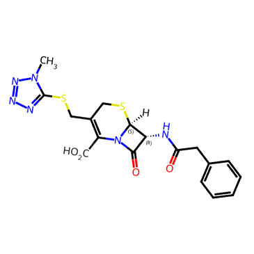 Cn1nnnc1SCC1=C(C(=O)O)N2C(=O)[C@@H](NC(=O)Cc3ccccc3)[C@@H]2SC1